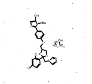 CCCCn1c(O)cnc1-c1ccc(OCC2COC(Cn3ccnc3)(c3ccc(Cl)cc3Cl)O2)cc1.O=[N+]([O-])O.O=[N+]([O-])O